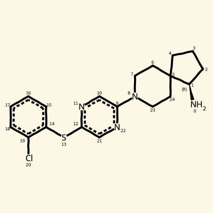 N[C@@H]1CCCC12CCN(c1cnc(Sc3ccccc3Cl)cn1)CC2